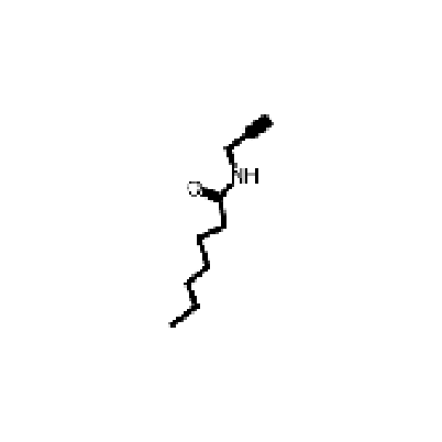 C#CCNC(=O)CCCCCC